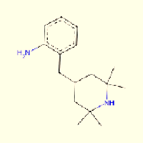 CC1(C)CC(Cc2ccccc2N)CC(C)(C)N1